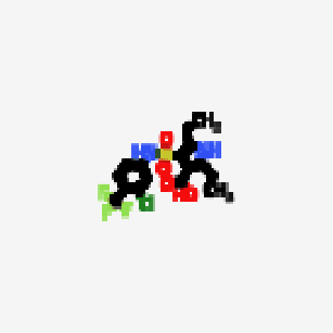 CCc1[nH]c(CC)c(S(=O)(=O)Nc2ccc(C(F)(F)F)c(Cl)c2)c1C(=O)O